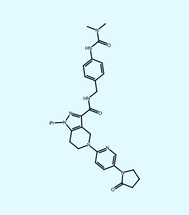 CC(C)n1nc(C(=O)NCc2ccc(NC(=O)N(C)C)cc2)c2c1CCN(c1ccc(N3CCCC3=O)cn1)C2